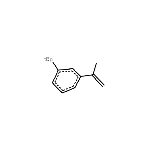 C=C(C)c1cccc(C(C)(C)C)c1